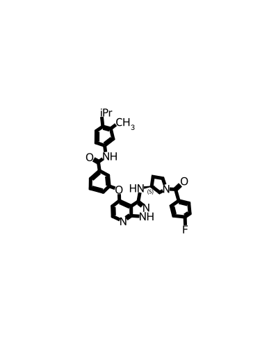 Cc1cc(NC(=O)c2cccc(Oc3ccnc4[nH]nc(N[C@H]5CCN(C(=O)c6ccc(F)cc6)C5)c34)c2)ccc1C(C)C